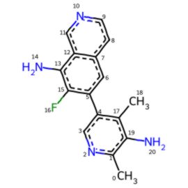 Cc1ncc(-c2cc3ccncc3c(N)c2F)c(C)c1N